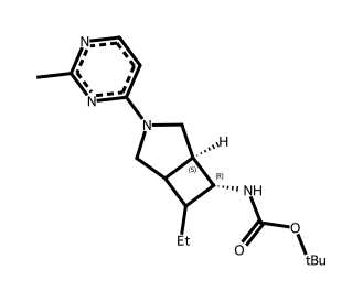 CCC1C2CN(c3ccnc(C)n3)C[C@H]2[C@@H]1NC(=O)OC(C)(C)C